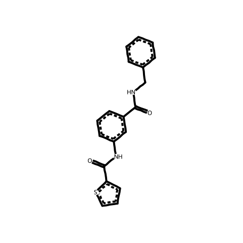 O=C(NCc1ccccc1)c1cccc(NC(=O)c2cccs2)c1